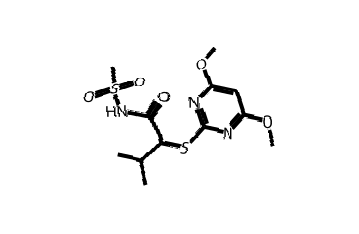 COc1cc(OC)nc(SC(C(=O)NS(C)(=O)=O)C(C)C)n1